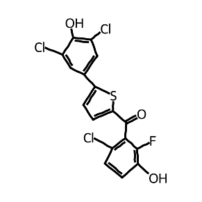 O=C(c1ccc(-c2cc(Cl)c(O)c(Cl)c2)s1)c1c(Cl)ccc(O)c1F